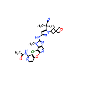 CC(=O)Nc1cc(Oc2ncc3nc(Nc4cc(C(C)(C)C#N)n(C5CC6(COC6)C5)n4)n(C)c3c2Cl)ccn1